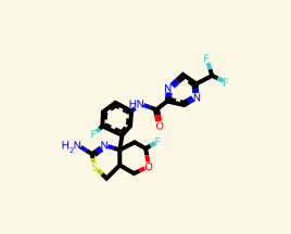 NC1=NC2(c3cc(NC(=O)c4cnc(C(F)F)cn4)ccc3F)CC(F)OCC2CS1